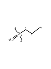 CCCP(C)(C)=O